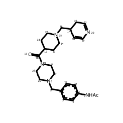 CC(=O)Nc1ccc(CN2CCN(C(=O)C3CCN(CC4C=CN=CC4)CC3)CC2)cc1